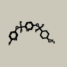 CC1CCC(C(F)(F)Oc2ccc(C(F)(F)Oc3ccc(F)nc3)nc2)CC1